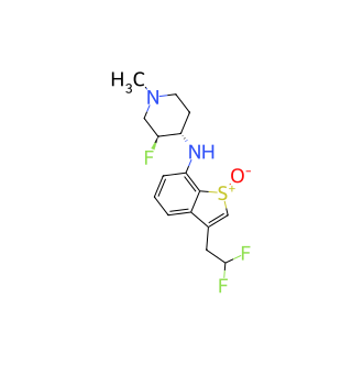 CN1CC[C@H](Nc2cccc3c(CC(F)F)c[s+]([O-])c23)[C@@H](F)C1